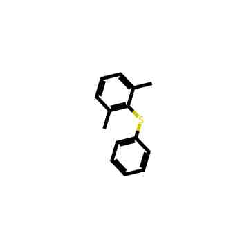 Cc1cccc(C)c1Sc1ccccc1